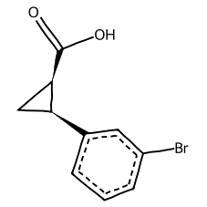 O=C(O)[C@@H]1C[C@@H]1c1cccc(Br)c1